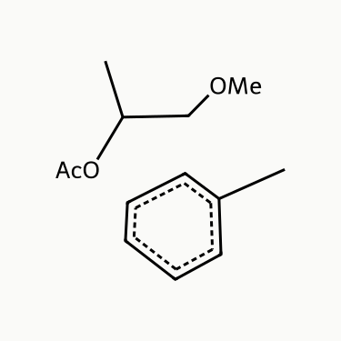 COCC(C)OC(C)=O.Cc1ccccc1